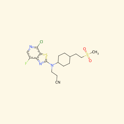 CS(=O)(=O)CCC1CCC(N(CCC#N)c2nc3c(F)cnc(Cl)c3s2)CC1